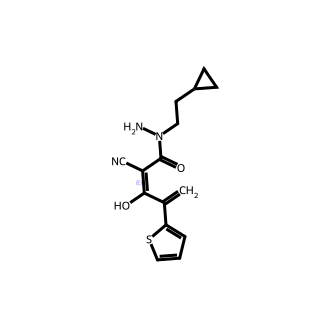 C=C(/C(O)=C(/C#N)C(=O)N(N)CCC1CC1)c1cccs1